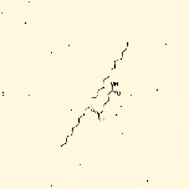 CCCCCCCCCCCCCCCCCCCCCCC.O=C(O)CCCCC(=O)O